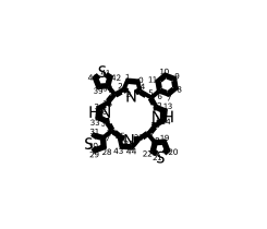 C1=Cc2nc1c(-c1ccccc1)c1ccc([nH]1)c(-c1ccsc1)c1nc(c(-c3ccsc3)c3ccc([nH]3)c2-c2ccsc2)C=C1